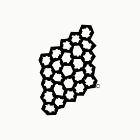 Cl.c1cc2cc3cc4cc5ccc6cc7cc8cc9cccc%10cc%11cc%12cc%13ccc%14cc%15cc%16cc(c1)c2c1c3c2c4c3c5c6c4c7c5c8c(c9%10)c%11c6c%12c7c%13c%14c8c%15c(c%161)c2c1c3c4c(c56)c7c81